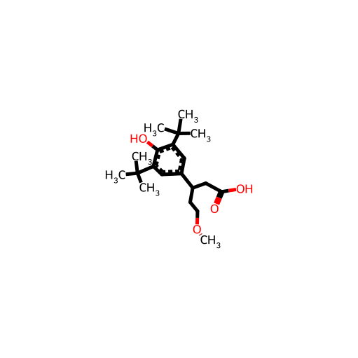 COCCC(CC(=O)O)c1cc(C(C)(C)C)c(O)c(C(C)(C)C)c1